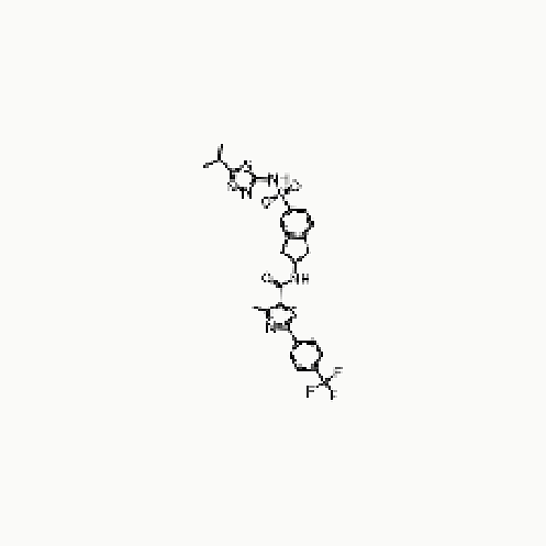 Cc1nc(-c2ccc(C(F)(F)F)cc2)sc1C(=O)NC1Cc2ccc(S(=O)(=O)Nc3nnc(C(C)C)s3)cc2C1